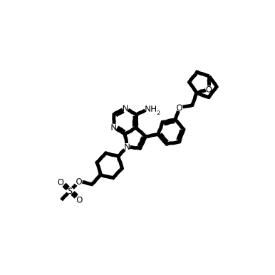 CS(=O)(=O)OCC1CCC(n2cc(-c3cccc(OCC45CCC(CC4)O5)c3)c3c(N)ncnc32)CC1